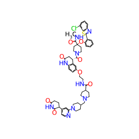 CNC(=O)C1(Oc2ccccc2-c2nc3cccc(Cl)c3s2)CCN(C(=O)[C@H]2CC(=O)Nc3ccc(OCCNC(=O)C4CCN(CC5CCN(c6cc(C7CCC(=O)NC7=O)ccn6)CC5)CC4)cc32)CC1